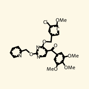 COc1ccc(COc2nc(OCc3ccccn3)ncc2C(=O)c2cc(OC)c(OC)c(OC)c2)cc1Cl